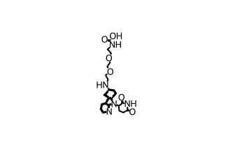 O=C(O)NCCOCCOCCNc1ccc2c(c1)c1cccnc1n2C1CCC(=O)NC1=O